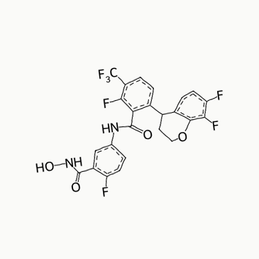 O=C(NO)c1cc(NC(=O)c2c(C3CCOc4c3ccc(F)c4F)ccc(C(F)(F)F)c2F)ccc1F